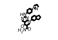 NC(=O)c1cn(-c2ccc3c(c2)CCC3)c2nc(Nc3ccc(-n4cccn4)cc3)ncc2c1=O